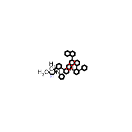 C=C/C=C\c1c(C)c2cccc(-c3cccc(N(c4ccc(-c5cccc6ccccc56)cc4)c4cccc(-c5ccccc5)c4-c4ccccc4-c4ccccc4)c3)c2n1-c1ccccc1